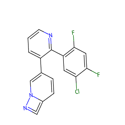 Fc1cc(F)c(-c2ncccc2C2=CN3N=C=C3C=C2)cc1Cl